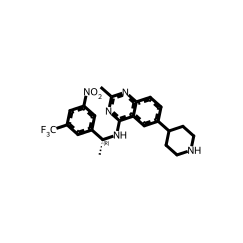 Cc1nc(N[C@H](C)c2cc([N+](=O)[O-])cc(C(F)(F)F)c2)c2cc(C3CCNCC3)ccc2n1